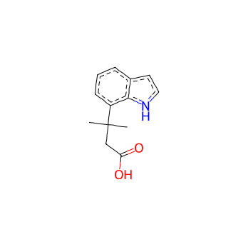 CC(C)(CC(=O)O)c1cccc2cc[nH]c12